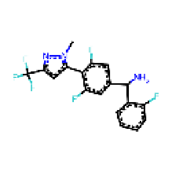 Cn1nc(C(F)(F)F)cc1-c1c(F)cc(C(N)c2ccccc2F)cc1F